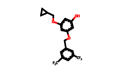 Oc1cc(OCc2cc(C(F)(F)F)cc(C(F)(F)F)c2)cc(OCC2CC2)c1